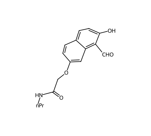 CCCNC(=O)COc1ccc2ccc(O)c(C=O)c2c1